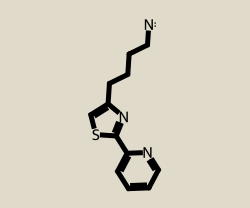 [N]CCCCc1csc(-c2ccccn2)n1